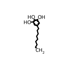 C=CCCCCCCCc1cc(O)c(O)c(O)c1